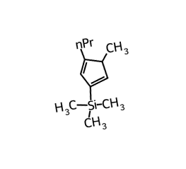 CCCC1=CC([Si](C)(C)C)=CC1C